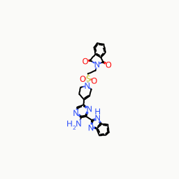 Nc1ncc(C2=CCN(S(=O)(=O)CCN3C(=O)c4ccccc4C3=O)CC2)nc1-c1nc2ccccc2[nH]1